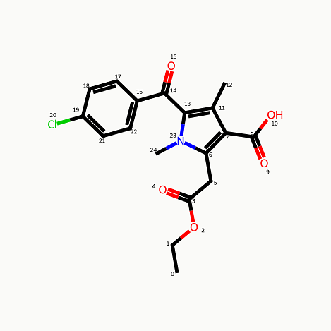 CCOC(=O)Cc1c(C(=O)O)c(C)c(C(=O)c2ccc(Cl)cc2)n1C